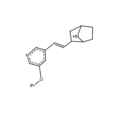 CC(C)Oc1cncc(C=CC2CC3CCC2N3)c1